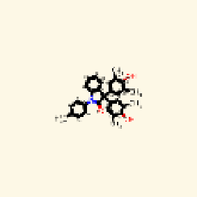 Cc1ccc(N2C(=O)C(c3cc(C)c(O)c(C)c3)(c3cc(C)c(O)c(C)c3)c3ccccc32)cc1